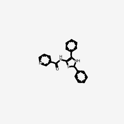 O=C(NC1=C(c2ccccc2)NC(c2ccccc2)S1)c1cccnc1